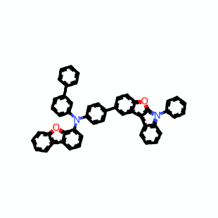 c1ccc(-c2cccc(N(c3ccc(-c4ccc5oc6c(c5c4)c4ccccc4n6-c4ccccc4)cc3)c3cccc4c3oc3ccccc34)c2)cc1